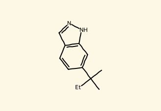 CCC(C)(C)c1ccc2cn[nH]c2c1